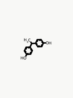 C[C](c1ccc(O)cc1)c1ccc(O)cc1